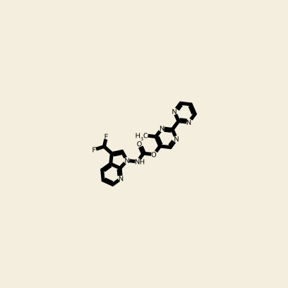 Cc1nc(-c2ncccn2)ncc1OC(=O)Nn1cc(C(F)F)c2cccnc21